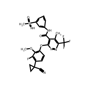 COc1c(Oc2nnc(C(F)(F)F)c(C)c2C(=O)Nc2cccc(S(C)(=N)=O)c2)ccc(C2(C#N)CC2)c1F